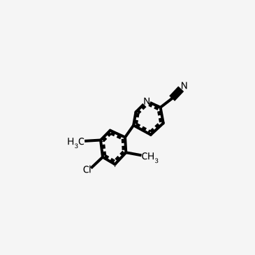 Cc1[c]c(Cl)c(C)cc1-c1ccc(C#N)nc1